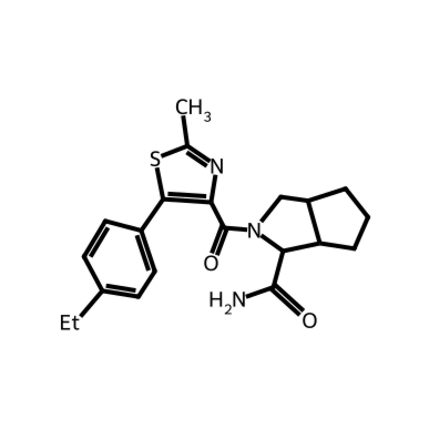 CCc1ccc(-c2sc(C)nc2C(=O)N2CC3CCCC3C2C(N)=O)cc1